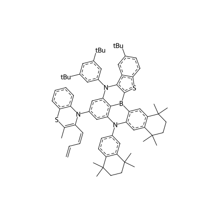 C=C/C=C\C1=C(C)Sc2ccccc2N1c1cc2c3c(c1)N(c1cc(C(C)(C)C)cc(C(C)(C)C)c1)c1c(sc4ccc(C(C)(C)C)cc14)B3c1cc3c(cc1N2c1ccc2c(c1)C(C)(C)CCC2(C)C)C(C)(C)CCC3(C)C